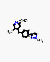 Cc1cnc(C=O)cc1Cc1ccc(-c2ccn(C)n2)cc1